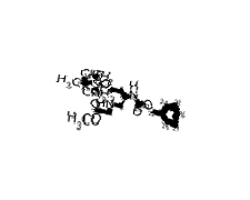 COC(=O)CNC[C@@H](CCO[Si](C)(C)C(C)(C)C)NC(=O)OCc1ccccc1